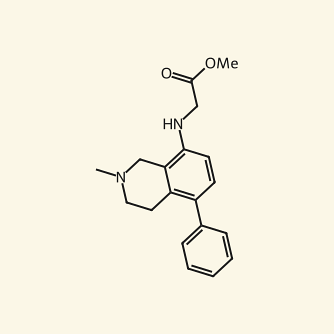 COC(=O)CNc1ccc(-c2ccccc2)c2c1CN(C)CC2